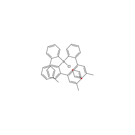 Cc1cccc(-c2ccccc2[Si](Cl)(c2ccccc2-c2cccc(C)c2)c2ccccc2-c2cccc(C)c2)c1